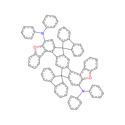 c1ccc(N(c2ccccc2)c2cc3c(c4c2oc2ccccc24)-c2cc4c(cc2C32c3ccccc3-c3ccccc32)-c2c(cc(N(c3ccccc3)c3ccccc3)c3oc5ccccc5c23)C42c3ccccc3-c3ccccc32)cc1